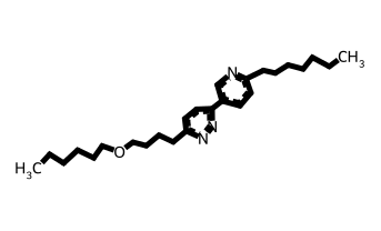 CCCCCCCc1ccc(-c2ccc(CCCCOCCCCCC)nn2)cn1